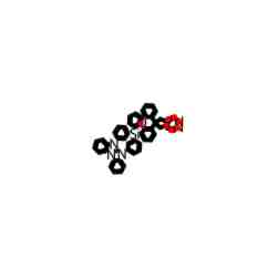 c1ccc([Si](c2ccccc2)(c2cccc(-n3c4ccccc4n4c5ccccc5nc34)c2)c2cccc3c2Oc2ccccc2C3(Cc2ccncc2)Cc2ccncc2)cc1